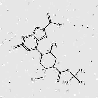 CC[C@@H]1CN(c2cc(=O)[nH]n3cc(C(=O)O)nc23)[C@@H](C)CN1C(=O)OC(C)(C)C